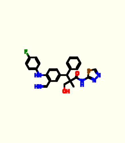 CC(CO)(C(=O)Nc1nncs1)C(c1ccccc1)c1ccc(Nc2ccc(F)cc2)c(C=N)c1